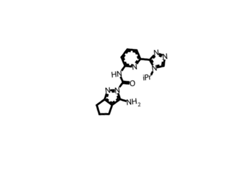 CC(C)n1cnnc1-c1cccc(NC(=O)n2nc3c(c2N)CCC3)n1